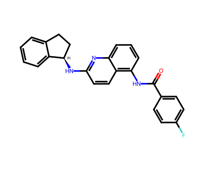 O=C(Nc1cccc2nc(N[C@@H]3CCc4ccccc43)ccc12)c1ccc(F)cc1